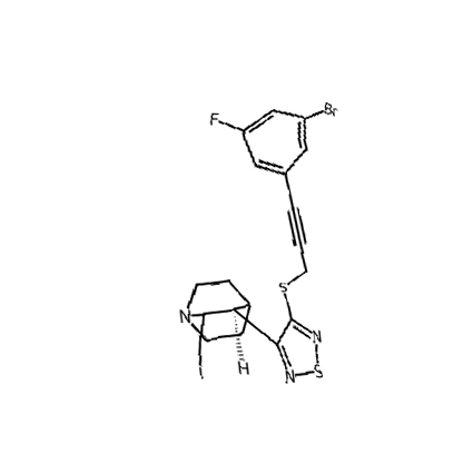 Fc1cc(Br)cc(C#CCSc2nsnc2[C@@H]2C3CCN(CC3)C2I)c1